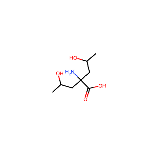 CC(O)CC(N)(CC(C)O)C(=O)O